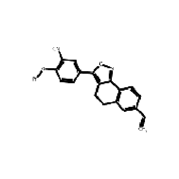 [C-]#[N+]c1cc(-c2onc3c2CCc2cc(C=C)ccc2-3)ccc1OC(C)C